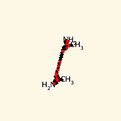 CCCCC(c1ccc(N)cc1)c1ccc(CCCCCCCCCCCCCCCCCCCc2ccc(C(CCCC)c3ccc(N)cc3)cc2)cc1